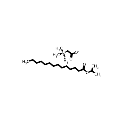 CCCCCCCCCCCCCC(=O)OC(C)C.C[N+](C)(C)CC(=O)[O-]